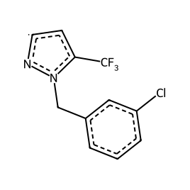 FC(F)(F)c1c[c]nn1Cc1cccc(Cl)c1